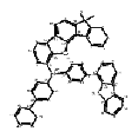 CC1(C)C2=C(C=CCC2)c2c1ccc1c2oc2c(N(c3ccc(-c4cccc5c4sc4ccccc45)cc3)C3C=CC(C4C=CC=CC4)=CC3)cccc21